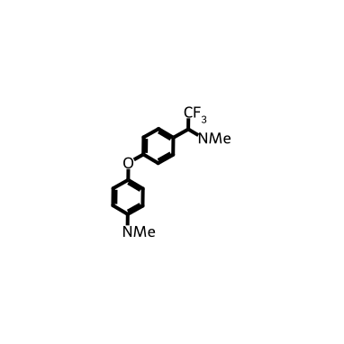 CNc1ccc(Oc2ccc(C(NC)C(F)(F)F)cc2)cc1